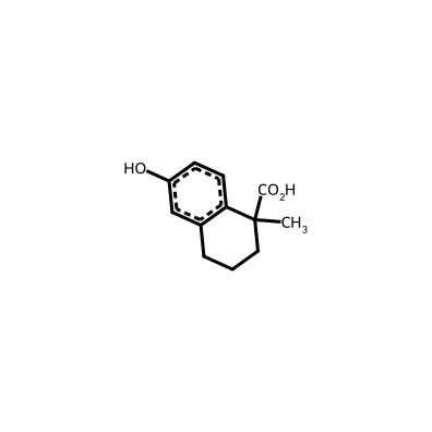 CC1(C(=O)O)CCCc2cc(O)ccc21